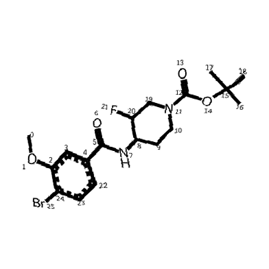 COc1cc(C(=O)NC2CCN(C(=O)OC(C)(C)C)CC2F)ccc1Br